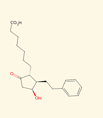 O=C(O)CCCCCC[C@H]1C(=O)C[C@H](O)[C@@H]1CCc1ccccc1